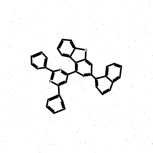 c1ccc(-c2cc(-c3cc(-c4cccc5ccccc45)cc4oc5ccccc5c34)nc(-c3ccccc3)n2)cc1